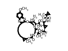 COc1ccc2nc3c(nc2c1)O[C@H]1CN(C(=O)[C@H](C(C)(C)C)NC(=O)O[C@]2(C)CC2CCCCC3)[C@H](C(=O)N[C@]2(C(=O)NS(=O)(=O)C3(C)CC3)C[C@H]2C(F)F)[C@@H]1C